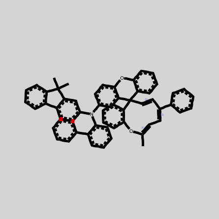 C\C1=C/C=C(c2ccccc2)\C=C\C2(c3ccccc3O1)c1ccccc1Oc1ccc(N(c3ccc4c(c3)C(C)(C)c3ccccc3-4)c3ccccc3-c3ccccc3)cc12